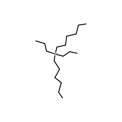 CCCCCC[N+](CCC)(CCC)CCCCCC